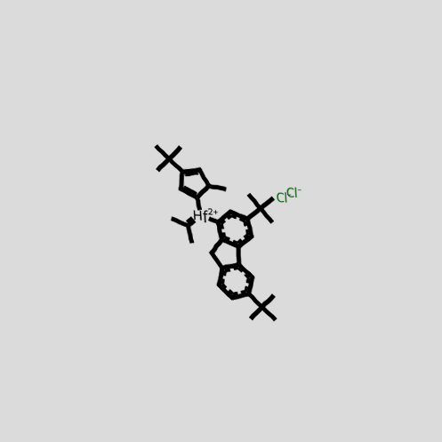 C[C](C)=[Hf+2]([C]1=CC(C(C)(C)C)=CC1C)[c]1cc(C(C)(C)C)cc2c1Cc1ccc(C(C)(C)C)cc1-2.[Cl-].[Cl-]